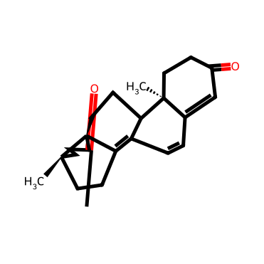 C[C@]12CCC(=O)[C@]13CCC1C(=C3CC2)C=CC2=CC(=O)CC[C@@]21C